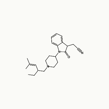 CCC(C=C(C)C)CN1CCC(N2C(=O)C(CC#N)c3ccccc32)CC1